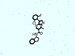 Cc1c(C(=O)NC2CCc3ccccc32)cnc2c(-c3c(F)cccc3Cl)cnn12